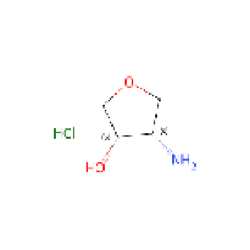 Cl.N[C@H]1COC[C@H]1O